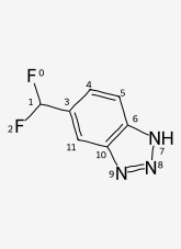 FC(F)c1ccc2[nH]nnc2c1